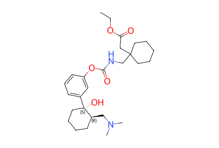 CCOC(=O)CC1(CNC(=O)Oc2cccc([C@]3(O)CCCC[C@@H]3CN(C)C)c2)CCCCC1